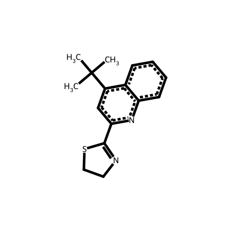 CC(C)(C)c1cc(C2=NCCS2)nc2ccccc12